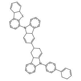 C1=CCCC(c2ccc(N3C4=CCC(C5=CC6c7ccccc7N(c7cccc8c7SC7C=CC=CC87)C6C=C5)CC4c4ccccc43)cc2)=C1